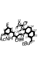 CC(=O)NC(Cc1cc(F)cc(F)c1)C(O)CNC1c2cc(CC(C)(C)C)ccc2CCC1N(C)C(=O)N(C)C